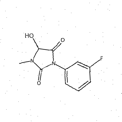 CN1C(=O)N(c2cccc(F)c2)C(=O)C1O